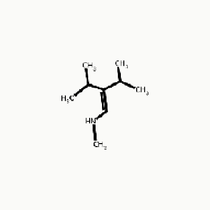 CNC=C(C(C)C)C(C)C